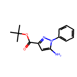 CC(C)(C)OC(=O)c1cc(N)n(-c2ccccc2)n1